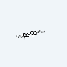 CCCCC[C@@H]1CC[C@@H]2CC(c3ccc4c(F)c(OC(F)(F)F)ccc4c3)CCC2C1